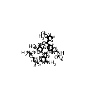 COC(=O)Nc1nc2cc(C(=O)c3cccs3)ccc2[nH]1.C[N+](C)(C)CCOC(N)=O.Nc1ncnc2c1ncn2[C@@H]1O[C@H](CO)[C@@H](O)[C@@H]1O.O.[Cl-]